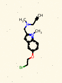 C#CCN(C)Cc1cc2cc(OCCBr)ccc2n1C